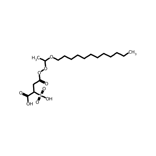 CCCCCCCCCCCCOC(C)OOC(=O)CC(C(=O)O)S(=O)(=O)O